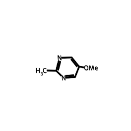 COc1cnc(C)nc1